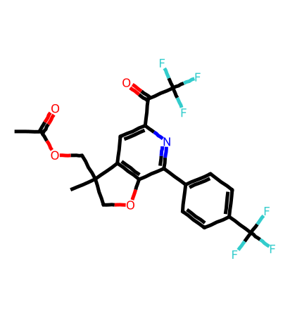 CC(=O)OCC1(C)COc2c1cc(C(=O)C(F)(F)F)nc2-c1ccc(C(F)(F)F)cc1